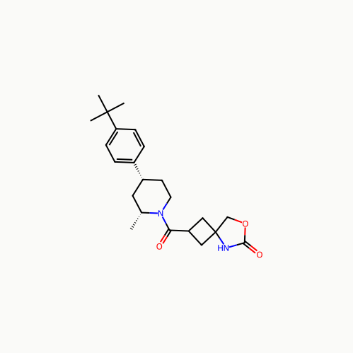 C[C@@H]1C[C@H](c2ccc(C(C)(C)C)cc2)CCN1C(=O)C1CC2(COC(=O)N2)C1